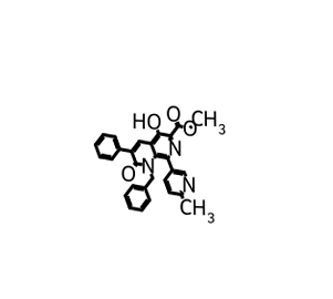 COC(=O)c1nc(-c2ccc(C)nc2)c2c(cc(-c3ccccc3)c(=O)n2Cc2ccccc2)c1O